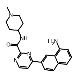 CN1CCC(NC(=O)c2nccc(-c3ccc4cccc(N)c4c3)n2)CC1